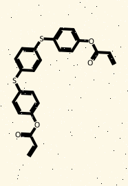 C=CC(=O)Oc1ccc(Sc2ccc(Sc3ccc(OC(=O)C=C)cc3)cc2)cc1